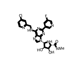 CNC(=O)[C@H]1N[C@@H](n2cnc3c(NCc4cc(Cl)ccn4)nc(-c4cncc(F)c4)nc32)[C@H](O)[C@@H]1O